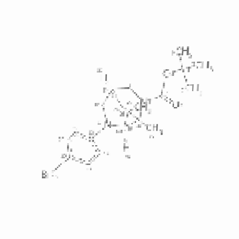 CC(C)(C)OC(=O)N1C[C@@H]2CN(c3ccc(Br)cc3)[C@H](C1)C(C)(C)C2